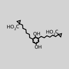 O=C(O)C1(CCCCCCc2cc(O)cc(CCCCCCC3(C(=O)O)CC3)c2O)CC1